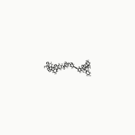 O=C1CCC(N2C(=O)c3cccc(N4CCC(CC(=O)N5CCN(Cc6ccc(C#Cc7ccc8c(c7)C(=O)N(C(C(=O)Nc7ccccn7)c7ccccc7)C8)cn6)CC5)CC4)c3C2=O)C(=O)N1